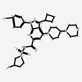 O=C(NS(=O)(=O)N1CCC(F)C1)c1cc(N2CCC(N3CCOCC3)CC2)c2c(C3CCC3)nn(-c3ccc(F)cc3)c2n1